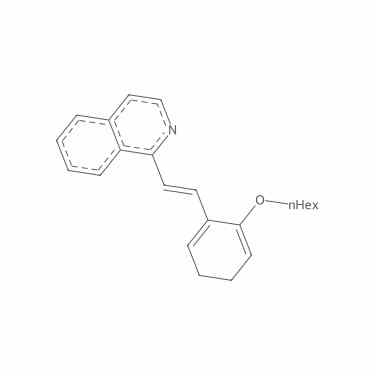 CCCCCCOC1=CCCC=C1C=Cc1nccc2ccccc12